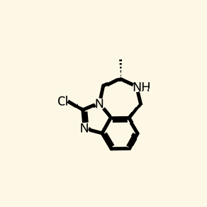 C[C@H]1Cn2c(Cl)nc3cccc(c32)CN1